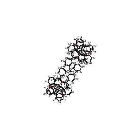 O=S12(c3cc(N4c5ccccc5[Si](c5ccccc5)(c5ccccc5)c5ccccc54)ccc3-c3ccc(N4c5ccccc5[Si](c5ccccc5)(c5ccccc5)c5ccccc54)cc31)c1cc(N3c4ccccc4[Si](c4ccccc4)(c4ccccc4)c4ccccc43)ccc1-c1ccc(N3c4ccccc4[Si](c4ccccc4)(c4ccccc4)c4ccccc43)cc12